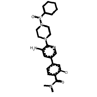 CN(C)C(=O)c1ccc(-c2cnc(N3CCN([S+]([O-])C4CCCCC4)CC3)c(N)c2)cc1Cl